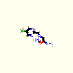 NC1=CN(Cc2ncc(Br)cn2)NO1